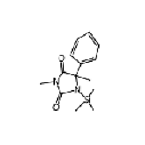 CN1C(=O)N([Si](C)(C)C)C(C)(c2ccccc2)C1=O